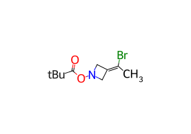 CC(Br)=C1CN(OC(=O)C(C)(C)C)C1